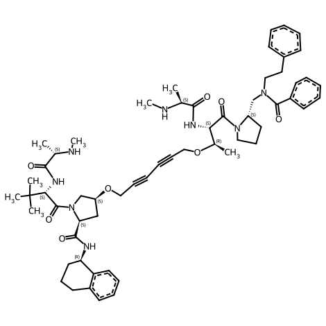 CN[C@@H](C)C(=O)N[C@H](C(=O)N1CCC[C@H]1CN(CCc1ccccc1)C(=O)c1ccccc1)[C@@H](C)OCC#CC#CCO[C@H]1C[C@@H](C(=O)N[C@@H]2CCCc3ccccc32)N(C(=O)[C@@H](NC(=O)[C@H](C)NC)C(C)(C)C)C1